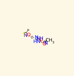 Cc1cc(CC(=O)Nc2cc([C@H]3C[C@@H](COc4nscc4C4CC4)C3)n[nH]2)on1